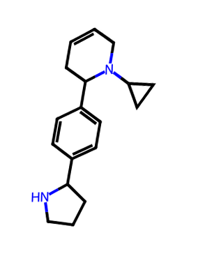 C1=CCN(C2CC2)C(c2ccc(C3CCCN3)cc2)C1